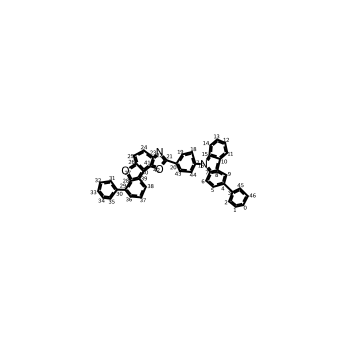 c1ccc(-c2ccc3c(c2)c2ccccc2n3-c2ccc(-c3nc4ccc5oc6c(-c7ccccc7)cccc6c5c4o3)cc2)cc1